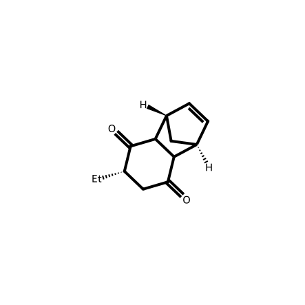 CC[C@H]1CC(=O)C2C(C1=O)[C@@H]1C=C[C@@H]2C1